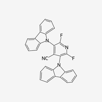 N#Cc1c(-n2c3ccccc3c3ccccc32)c(F)nc(F)c1-n1c2ccccc2c2ccccc21